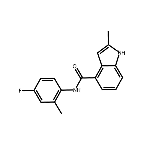 Cc1cc2c(C(=O)Nc3ccc(F)cc3C)cccc2[nH]1